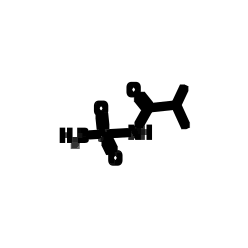 BS(=O)(=O)NC(=O)C(C)C